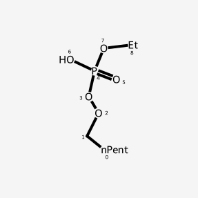 CCCCCCOOP(=O)(O)OCC